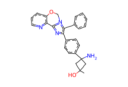 CC1(O)CC(N)(c2ccc(-c3nc4n(c3-c3ccccc3)COc3cccnc3-4)cc2)C1